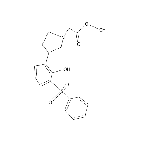 COC(=O)CN1CCC(c2cccc(S(=O)(=O)c3ccccc3)c2O)C1